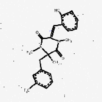 CN1C(=O)C(C)(Cc2cccc(C(F)(F)F)c2)N(C)C(=O)/C1=C/c1ccccc1C#N